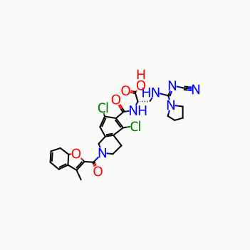 CC1=C(C(=O)N2CCc3c(cc(Cl)c(C(=O)N[C@@H](CN/C(=N/C#N)N4CCCC4)C(=O)O)c3Cl)C2)OC2CC=CC=C12